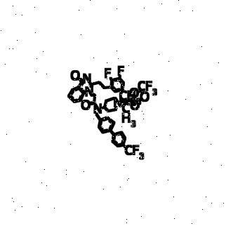 CC(C)(C(=O)OC(=O)C(F)(F)F)N1CCC(N(Cc2ccc(-c3ccc(C(F)(F)F)cc3)cc2)C(=O)Cn2c(CCc3cccc(F)c3F)nc(=O)c3ccccc32)CC1